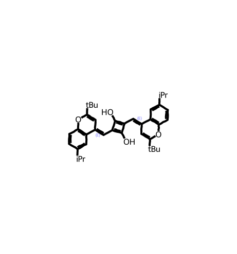 CC(C)c1ccc2c(c1)/C(=C/C1=C(O)C(/C=C3\C=C(C(C)(C)C)Oc4ccc(C(C)C)cc43)=C1O)C=C(C(C)(C)C)O2